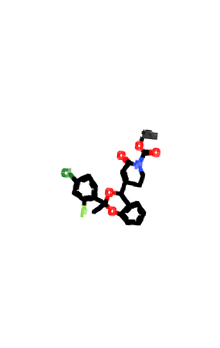 CC(C)(C)OC(=O)N1CCC(C2OC(C)(c3ccc(Cl)cc3F)Oc3ccccc32)=CC1=O